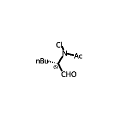 CCCC[C@@H](C=O)N(Cl)C(C)=O